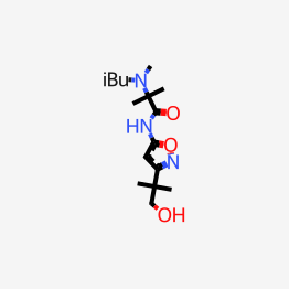 CCC(C)N(C)C(C)(C)C(=O)Nc1cc(C(C)(C)CO)no1